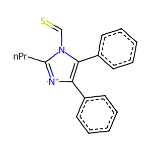 CCCC1=[N+]C(c2ccccc2)=C(c2ccccc2)N1C=S